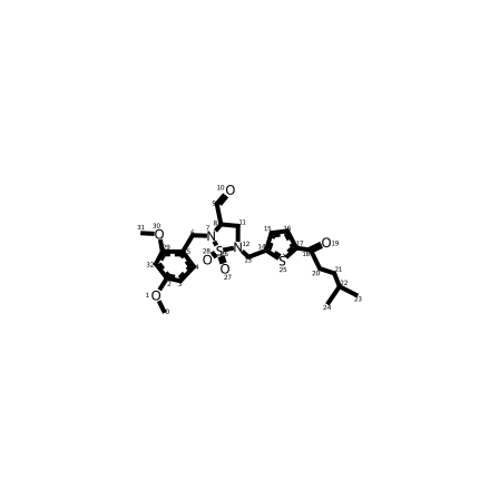 COc1ccc(CN2C(C=O)CN(Cc3ccc(C(=O)CCC(C)C)s3)S2(=O)=O)c(OC)c1